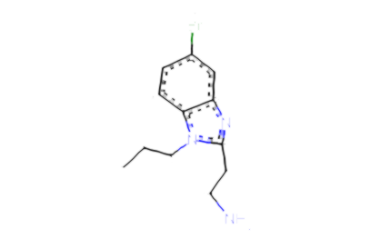 CCCn1c(CCN)nc2cc(Br)ccc21